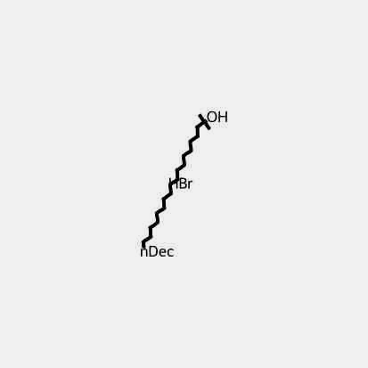 Br.CCCCCCCCCCCCCCCCCCCCCCCCCCCC(C)(C)O